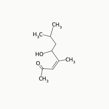 CC(=O)C=C(C)C(O)CC(C)C